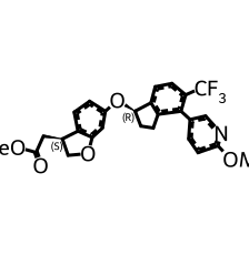 COC(=O)C[C@@H]1COc2cc(O[C@@H]3CCc4c3ccc(C(F)(F)F)c4-c3ccc(OC)nc3)ccc21